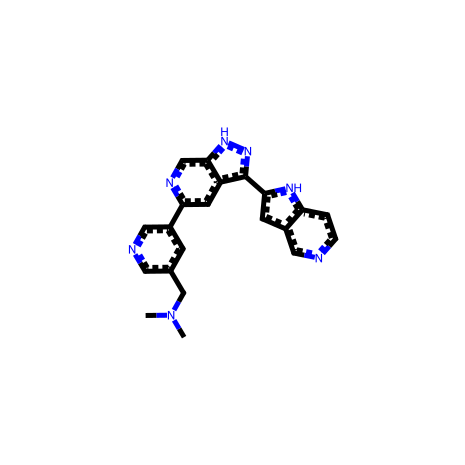 CN(C)Cc1cncc(-c2cc3c(-c4cc5cnccc5[nH]4)n[nH]c3cn2)c1